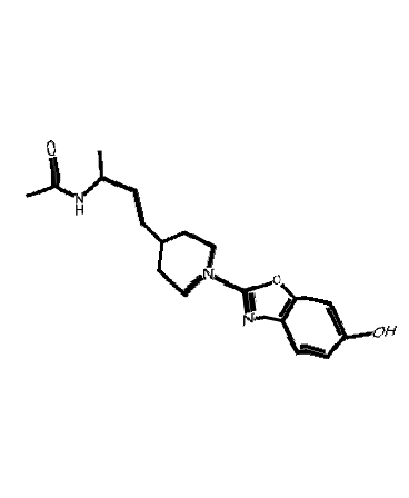 CC(=O)NC(C)CCC1CCN(c2nc3ccc(O)cc3o2)CC1